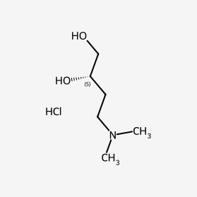 CN(C)CC[C@H](O)CO.Cl